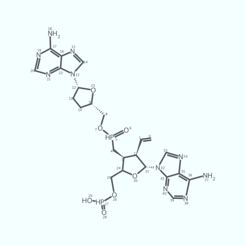 C=C[C@@H]1[C@H](C[PH](=O)OC[C@@H]2CC[C@H](n3cnc4c(N)ncnc43)O2)C(CO[PH](=O)O)O[C@H]1n1cnc2c(N)ncnc21